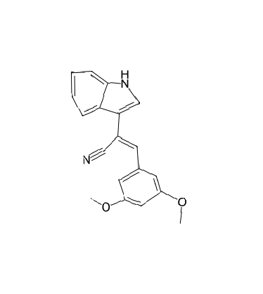 COc1cc(C=C(C#N)c2c[nH]c3ccccc23)cc(OC)c1